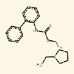 CCN1CCC[C@H]1COC(=O)Nc1ccccc1-c1ccccc1